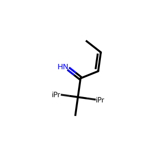 C/C=C\C(=N)C(C)(C(C)C)C(C)C